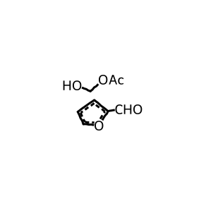 CC(=O)OCO.O=Cc1ccco1